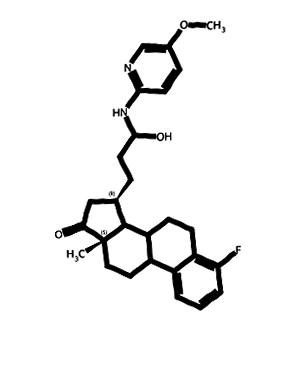 COc1ccc(NC(O)CC[C@@H]2CC(=O)[C@@]3(C)CCC4c5cccc(F)c5CCC4C23)nc1